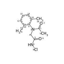 CC(=O)N(CC(=O)NCl)c1c(C)cccc1C